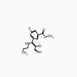 CCCN/C(=C(/Cl)C=N)c1cc(F)cc(C(=O)OC)c1